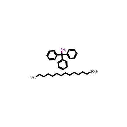 CCCCCCCCCCCCCCCCCCCCCCS(=O)(=O)O.PC(c1ccccc1)(c1ccccc1)c1ccccc1